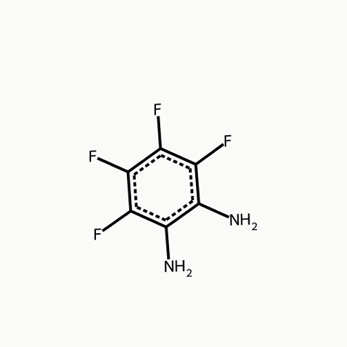 Nc1c(N)c(F)c(F)c(F)c1F